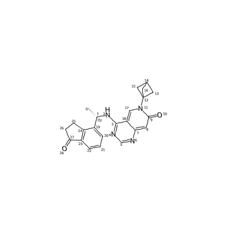 C[C@H](Nc1ncnc2cc(=O)n(C34CC(C3)C4)cc12)c1cccc2c1CCC2=O